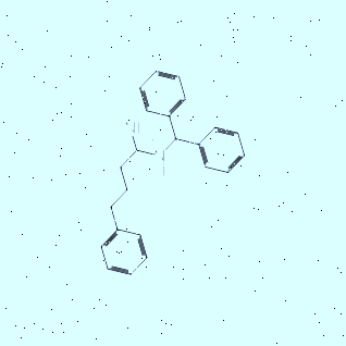 NC(CCCc1ccccc1)NC(c1ccccc1)c1ccccc1